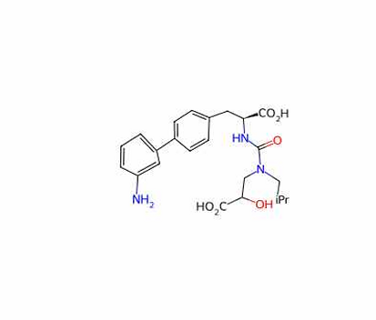 CC(C)CN(CC(O)C(=O)O)C(=O)N[C@@H](Cc1ccc(-c2cccc(N)c2)cc1)C(=O)O